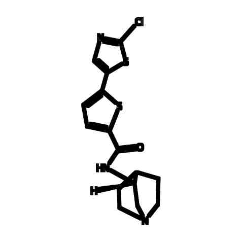 O=C(N[C@H]1CN2CCC1CC2)c1ccc(-c2cnc(Cl)s2)s1